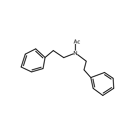 CC(=O)N(CCc1ccccc1)CCc1ccccc1